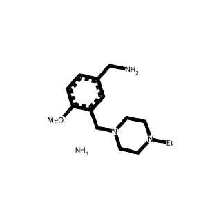 CCN1CCN(Cc2cc(CN)ccc2OC)CC1.N